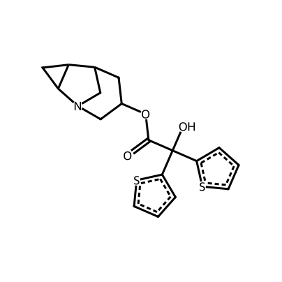 O=C(OC1CC2CN(C1)C1CC21)C(O)(c1cccs1)c1cccs1